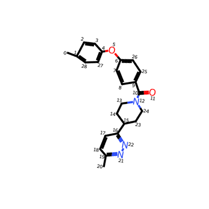 Cc1ccc(Oc2ccc(C(=O)N3CCC(c4ccc(C)nn4)CC3)cc2)cc1